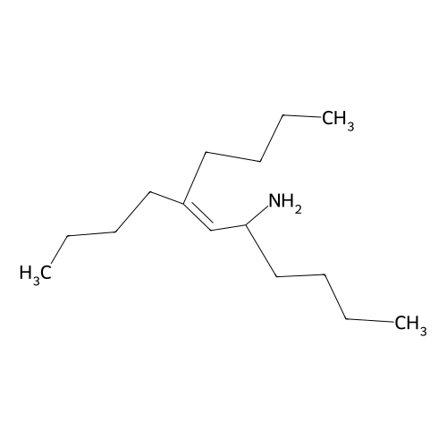 CCCCC(=CC(N)CCCC)CCCC